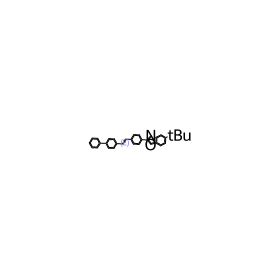 CC(C)(C)c1ccc2oc(-c3ccc(/C=C/c4ccc(-c5ccccc5)cc4)cc3)nc2c1